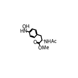 COC(=O)[C@H](Cc1ccc(NO)cc1)NC(C)=O